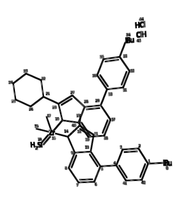 CCC(C)c1ccc(-c2cccc3c2C=C(C)[CH]3[Zr]([CH3])([CH3])(=[SiH2])[CH]2C(C3CCCCC3)=Cc3c(-c4ccc(C(C)CC)cc4)cccc32)cc1.Cl.Cl